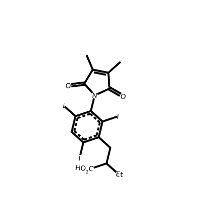 CCC(Cc1c(I)cc(I)c(N2C(=O)C(C)=C(C)C2=O)c1I)C(=O)O